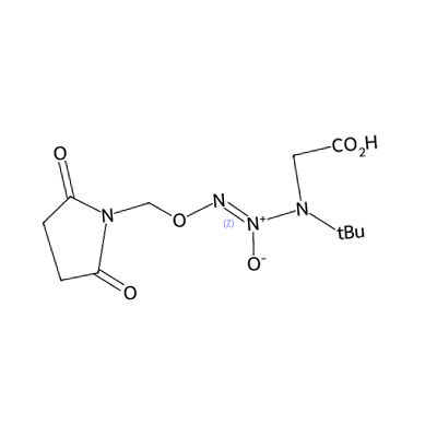 CC(C)(C)N(CC(=O)O)/[N+]([O-])=N/OCN1C(=O)CCC1=O